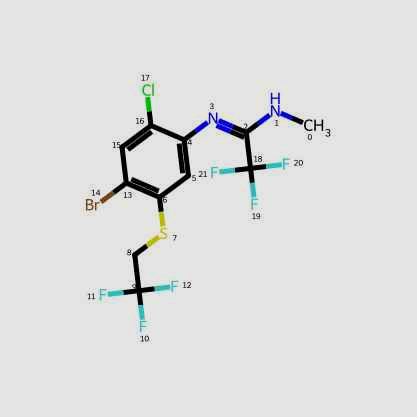 CN/C(=N/c1cc(SCC(F)(F)F)c(Br)cc1Cl)C(F)(F)F